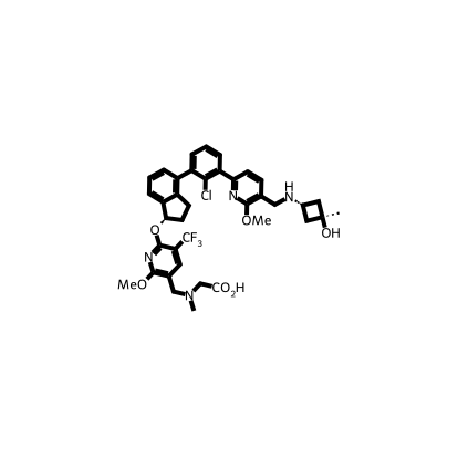 COc1nc(-c2cccc(-c3cccc4c3CC[C@@H]4Oc3nc(OC)c(CN(C)CC(=O)O)cc3C(F)(F)F)c2Cl)ccc1CN[C@H]1C[C@](C)(O)C1